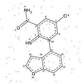 N=c1c(C(N)=O)cc(Cl)cn1-c1cccc2occc12